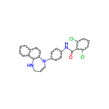 O=C(Nc1ccc(N2C=CCNc3c2ccc2ccccc32)cc1)c1c(Cl)cccc1Cl